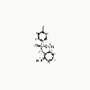 Cc1ccc(S(=O)(=O)Oc2c(O)cccc2O)cc1